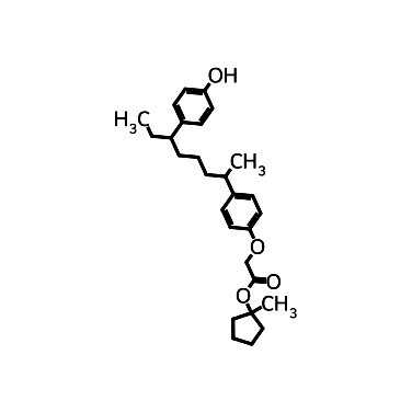 CCC(CCCC(C)c1ccc(OCC(=O)OC2(C)CCCC2)cc1)c1ccc(O)cc1